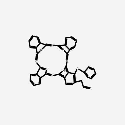 C=CCc1ccc2c3nc4nc(nc5[nH]c(nc6nc(nc([nH]3)c2c1Oc1ccccc1)-c1ccccc1-6)c1ccccc51)-c1ccccc1-4